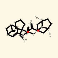 C=C1C2C=C(NC(=O)C[C@@H]3C[C@H]4CC[C@@H](C3)N4CC(=O)NC3(CO)CCCC3)CC1C2